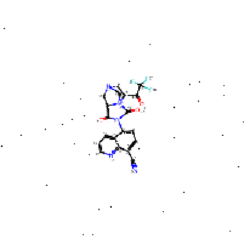 N#Cc1ccc(N2C(=O)C3CN4CC(C(=O)C(F)(F)F)[N+]3(C4)C2=O)c2cccnc12